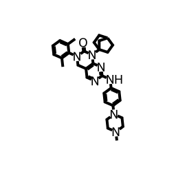 Cc1cccc(C)c1N1Cc2cnc(Nc3ccc(N4CCN(C)CC4)cc3)nc2N(C23CCC(CC2)C3)C1=O